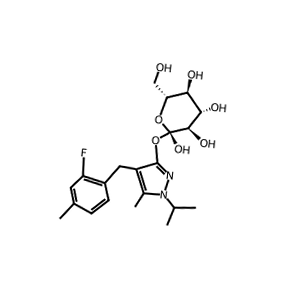 Cc1ccc(Cc2c(O[C@]3(O)O[C@H](CO)[C@@H](O)[C@H](O)[C@H]3O)nn(C(C)C)c2C)c(F)c1